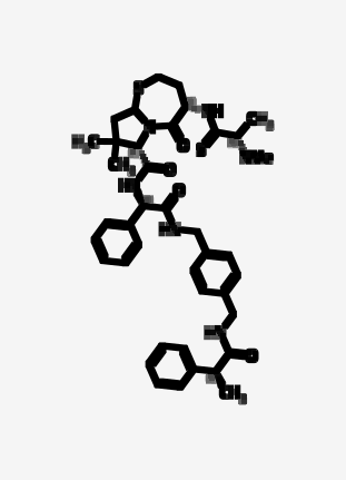 CN[C@@H](C)C(=S)N[C@H]1CCSC2CC(C)(C)[C@@H](C(=O)N[C@@H](C(=O)NCc3ccc(CNC(=O)[C@@H](C)c4ccccc4)cc3)c3ccccc3)N2C1=O